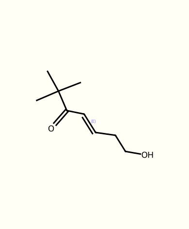 CC(C)(C)C(=O)/C=C/CCO